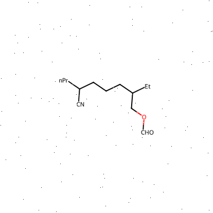 CCCC(C#N)CCCC(CC)COC=O